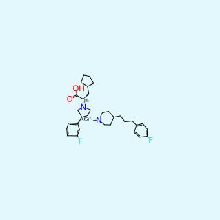 O=C(O)[C@@H](CC1CCCC1)N1C[C@H](CN2CCC(CCCc3ccc(F)cc3)CC2)[C@@H](c2cccc(F)c2)C1